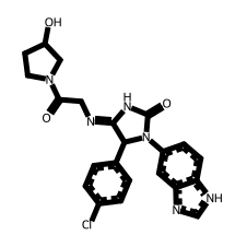 O=C(CN=C1NC(=O)N(c2ccc3[nH]cnc3c2)C1c1ccc(Cl)cc1)N1CCC(O)C1